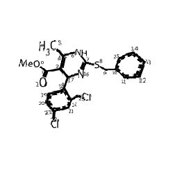 COC(=O)C1=C(C)NC(SCc2ccccc2)=NC1c1ccc(Cl)cc1Cl